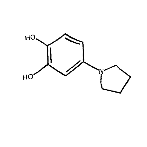 Oc1ccc(N2CCCC2)cc1O